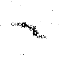 CC(=O)Nc1ccc(C(=O)OCCNc2ccc(C=O)cc2)cc1